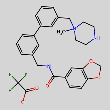 C[N+]1(Cc2cccc(-c3cccc(CNC(=O)c4ccc5c(c4)OCO5)c3)c2)CCNCC1.O=C([O-])C(F)(F)F